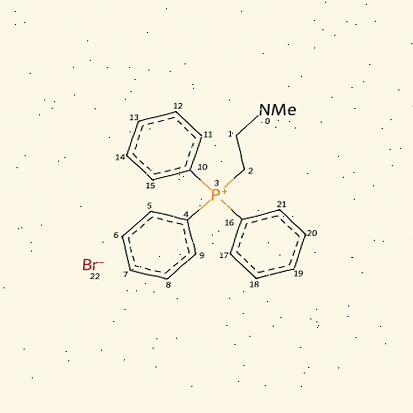 CNCC[P+](c1ccccc1)(c1ccccc1)c1ccccc1.[Br-]